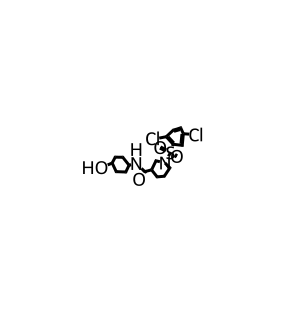 O=C(NC1CCC(O)CC1)C1CCCN(S(=O)(=O)c2cc(Cl)ccc2Cl)C1